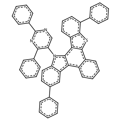 c1ccc(-c2ccc3c(c2)c2c4ccccc4c4sc5c(-c6ccccc6)cccc5c4c2n3-c2cnc(-c3ccccc3)nc2-c2ccccc2)cc1